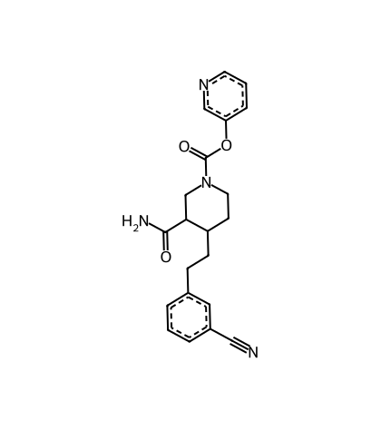 N#Cc1cccc(CCC2CCN(C(=O)Oc3cccnc3)CC2C(N)=O)c1